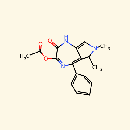 CC(=O)OC1=NC(c2ccccc2)=C2C(=CN(C)C2C)NC1=O